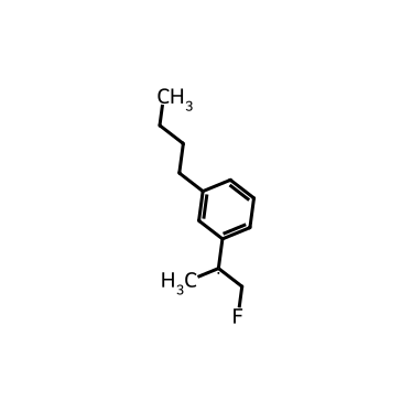 CCCCc1cccc([C](C)CF)c1